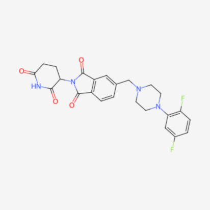 O=C1CCC(N2C(=O)c3ccc(CN4CCN(c5cc(F)ccc5F)CC4)cc3C2=O)C(=O)N1